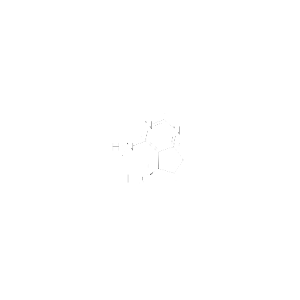 C[C@@H]1CCc2ncnc(N)c21